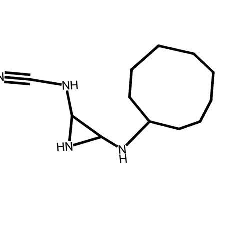 N#CNC1NC1NC1CCCCCCCC1